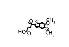 COc1cc2cc(C3(CCC(=O)O)CO3)sc2cc1OC